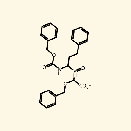 O=C(NC(CCc1ccccc1)[PH](=O)C(OCc1ccccc1)C(=O)O)OCc1ccccc1